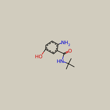 CC(C)(C)NC(=O)c1cc(O)ccc1N